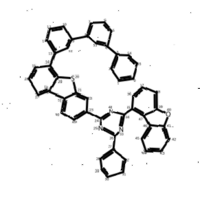 c1ccc(-c2cccc(-c3cccc(-c4cccc5c4sc4cc(-c6nc(-c7ccccc7)nc(-c7cccc8oc9ccccc9c78)n6)ccc45)c3)c2)cc1